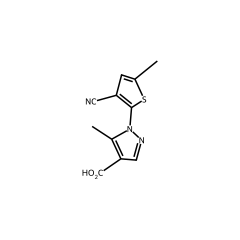 Cc1cc(C#N)c(-n2ncc(C(=O)O)c2C)s1